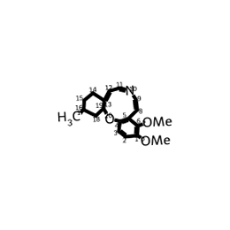 COc1ccc2c(c1OC)C=CN=CC=C1CCC(C)CC1O2